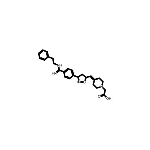 N=C(NCCc1ccccc1)c1ccc(C2CC(C=C3CCN(CC(=O)O)CC3)ON2)cc1